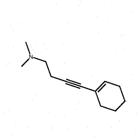 CN(C)CCC#CC1=CC[CH]CC1